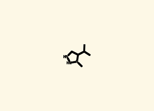 CC(C)C1CNNN1C